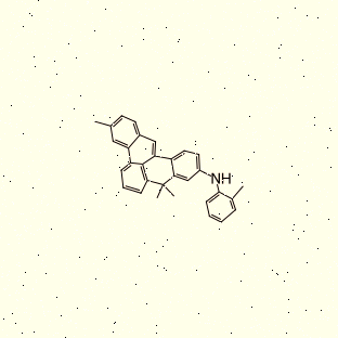 Cc1ccc2cc3c4c(cccc4c2c1)C(C)(C)c1cc(Nc2ccccc2C)ccc1-3